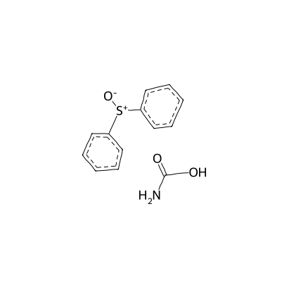 NC(=O)O.[O-][S+](c1ccccc1)c1ccccc1